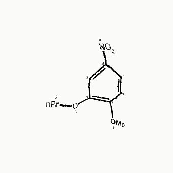 [CH2]CCOc1cc([N+](=O)[O-])ccc1OC